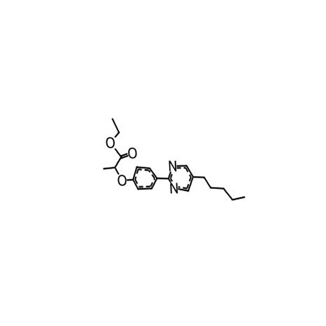 CCCCCc1cnc(-c2ccc(OC(C)C(=O)OCC)cc2)nc1